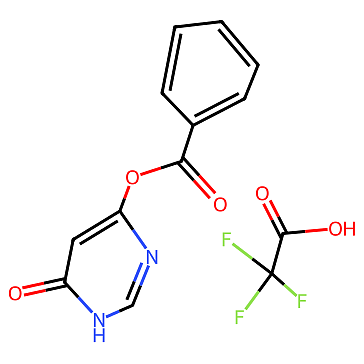 O=C(O)C(F)(F)F.O=C(Oc1cc(=O)[nH]cn1)c1ccccc1